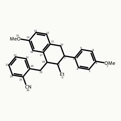 CCC1C(c2ccc(OC)cc2)Cc2ccc(OC)cc2C1Cc1ccccc1C#N